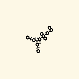 CC(C)(c1ccccc1)c1ccc2c(c1)Oc1cc(-c3c4ccccc4c(-c4ccc(-c5cccc6ccccc56)cc4)c4ccccc34)cc3c1B2c1ccc(C(C)(C)c2ccccc2)cc1O3